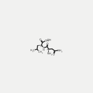 CC(C)C[C@H](NC(=O)[C@H](N)CC(N)=O)C(=O)O.Cl